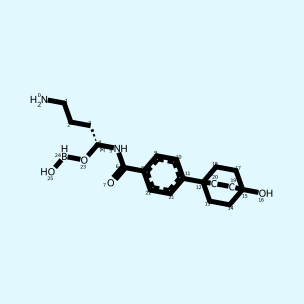 NCCC[C@H](NC(=O)c1ccc(C23CCC(O)(CC2)CC3)cc1)OBO